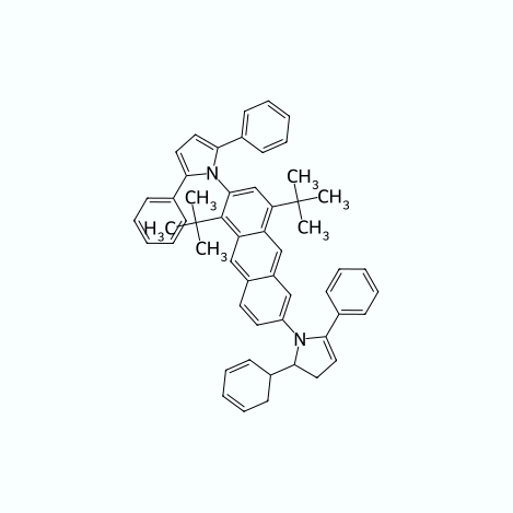 CC(C)(C)c1cc(-n2c(-c3ccccc3)ccc2-c2ccccc2)c(C(C)(C)C)c2cc3ccc(N4C(c5ccccc5)=CCC4C4C=CC=CC4)cc3cc12